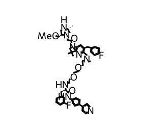 COC[C@H]1CN[C@H](C)CN1CC(=O)N1CC(C)(C)c2nc(CN(C)CCOCCOCCN[C@H](Cc3cccc(F)c3)C(=O)Nc3ccc(-c4ccncc4)cc3)c(Cc3ccc(F)cc3)cc21